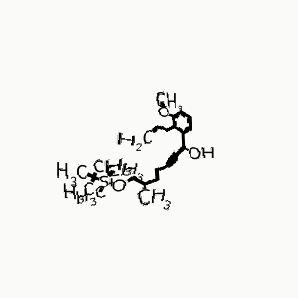 C=CCc1c(OC)cccc1[C@@H](O)C#CCC[C@@H](C)CO[Si](C)(C)C(C)(C)C